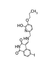 CCCOc1ccc(CN/C=C2\C(=O)NC(=O)c3ccc(I)cc32)nc1O